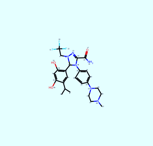 CC(C)c1cc(C2N(CC(F)(F)F)N=C(C(N)=O)N2c2ccc(N3CCN(C)CC3)cc2)c(O)cc1O